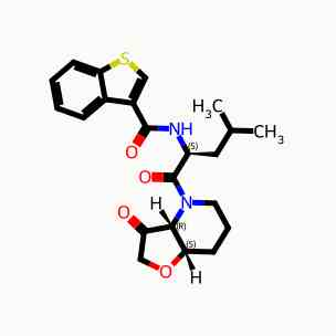 CC(C)C[C@H](NC(=O)c1csc2ccccc12)C(=O)N1CCC[C@@H]2OCC(=O)[C@@H]21